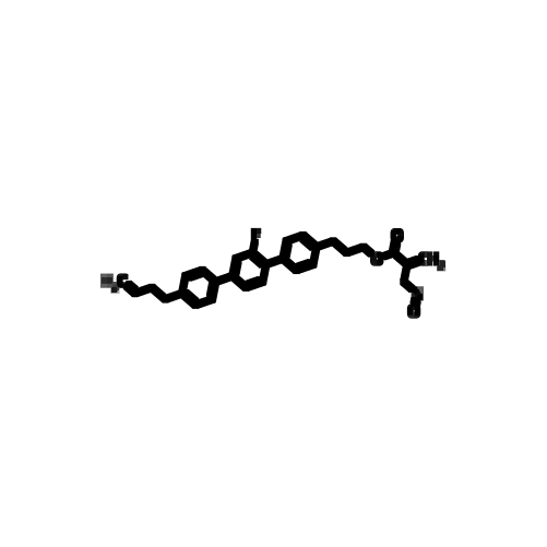 C=CCCc1ccc(-c2ccc(-c3ccc(CCCOC(=O)C(=C)CN=O)cc3)c(F)c2)cc1